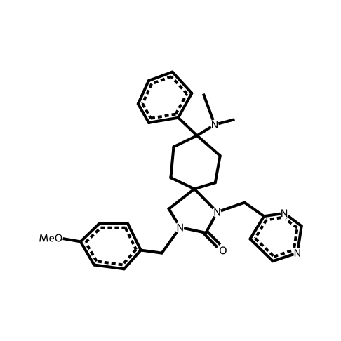 COc1ccc(CN2CC3(CCC(c4ccccc4)(N(C)C)CC3)N(Cc3ccncn3)C2=O)cc1